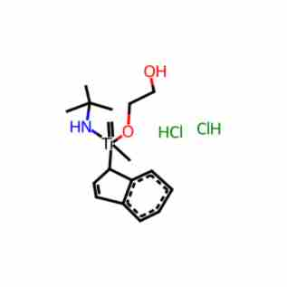 Cl.Cl.[CH2]=[Ti]([CH3])([NH]C(C)(C)C)([O]CCO)[CH]1C=Cc2ccccc21